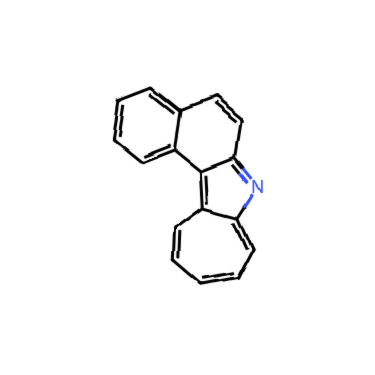 c1ccc2nc3ccc4ccccc4c3c-2cc1